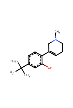 CCCCCCC(C)(C)c1ccc(C2=CCCN(C)C2)c(O)c1